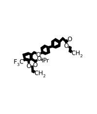 C=CCOC(=O)Cc1ccc(-c2ccc(OCc3ccc(C(F)(F)F)c(OCC=C)c3C(=O)OC(C)C)cc2)cc1